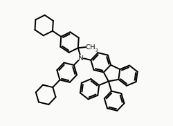 CC1(N(c2ccc(C3CCCCC3)cc2)c2ccc3c(c2)C(c2ccccc2)(c2ccccc2)c2ccccc2-3)C=CC(C2CCCCC2)=CC1